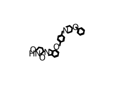 O=C1CCC(N2Cc3cccc(OCc4ccc(CN5CCC(Oc6ccccc6)CC5)cc4)c3C2)C(=O)N1